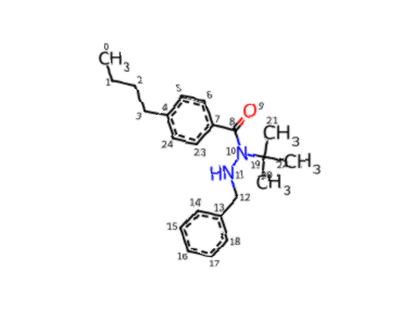 CCCCc1ccc(C(=O)N(NCc2ccccc2)C(C)(C)C)cc1